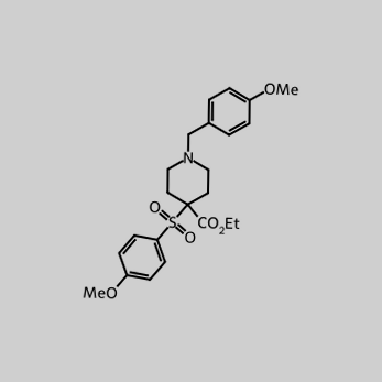 CCOC(=O)C1(S(=O)(=O)c2ccc(OC)cc2)CCN(Cc2ccc(OC)cc2)CC1